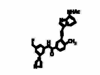 CC(=O)Nc1cccn2c(C#Cc3cc(C(=O)Nc4cc(CF)cc(-n5ccnc5)c4)ccc3C)cnc12